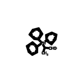 CC([C]=O)[PH](c1ccccc1)(c1ccccc1)c1ccccc1